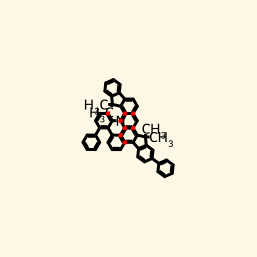 CC1(C)c2cc(-c3ccccc3)ccc2-c2ccc(N(c3cccc(-c4ccccc4)c3-c3ccccc3-c3ccccc3)c3cccc4c3C(C)(C)c3ccccc3-4)cc21